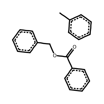 Cc1ccccc1.O=C(OCc1ccccc1)c1ccccc1